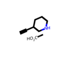 C#CC1CCCNC1.CC(=O)O